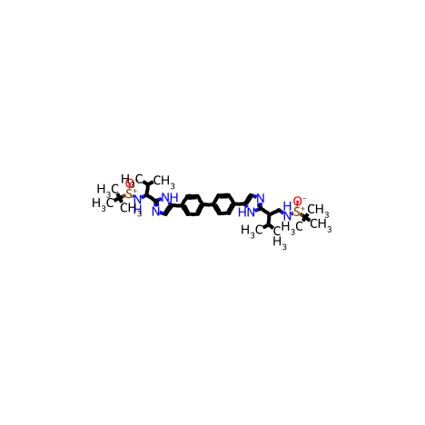 CC(C)C(CN[S@@+]([O-])C(C)(C)C)c1ncc(-c2ccc(-c3ccc(-c4cnc(C(N[S@+]([O-])C(C)(C)C)C(C)C)[nH]4)cc3)cc2)[nH]1